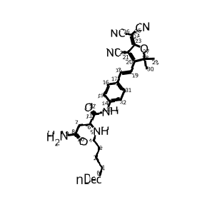 CCCCCCCCCCCCCCNC(CC(N)=O)C(=O)Nc1ccc(C=CC2=C(C#N)C(=C(C#N)C#N)OC2(C)C)cc1